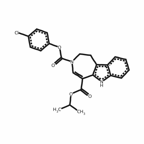 CC(C)OC(=O)C1=CN(C(=O)Oc2ccc(Cl)cc2)CCc2c1[nH]c1ccccc21